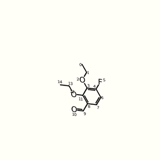 CCOc1c(F)ccc(C=O)c1OCC